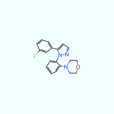 Fc1cccc(-c2ccnn2-c2ccccc2N2CCOCC2)c1